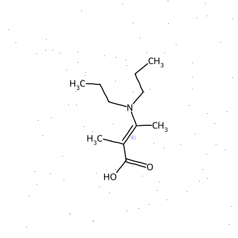 CCCN(CCC)/C(C)=C(\C)C(=O)O